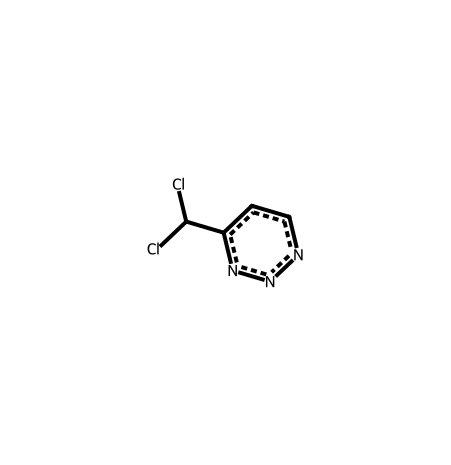 ClC(Cl)c1ccnnn1